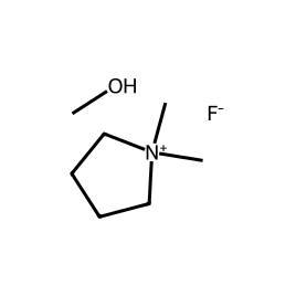 CO.C[N+]1(C)CCCC1.[F-]